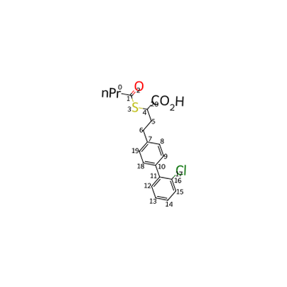 CCCC(=O)SC(CCc1ccc(-c2ccccc2Cl)cc1)C(=O)O